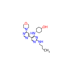 CCCCNc1ncc(-c2cc(N3CCOCC3)ncn2)c(N[C@H]2CC[C@H](O)CC2)n1